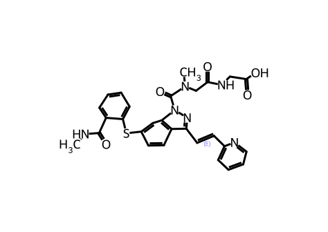 CNC(=O)c1ccccc1Sc1ccc2c(/C=C/c3ccccn3)nn(C(=O)N(C)CC(=O)NCC(=O)O)c2c1